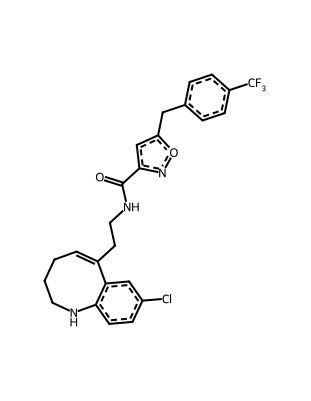 O=C(NCC/C1=C/CCCNc2ccc(Cl)cc21)c1cc(Cc2ccc(C(F)(F)F)cc2)on1